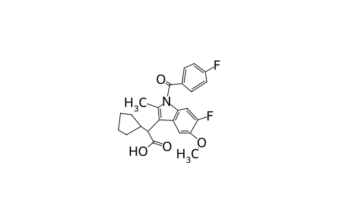 COc1cc2c(C(C(=O)O)C3CCCC3)c(C)n(C(=O)c3ccc(F)cc3)c2cc1F